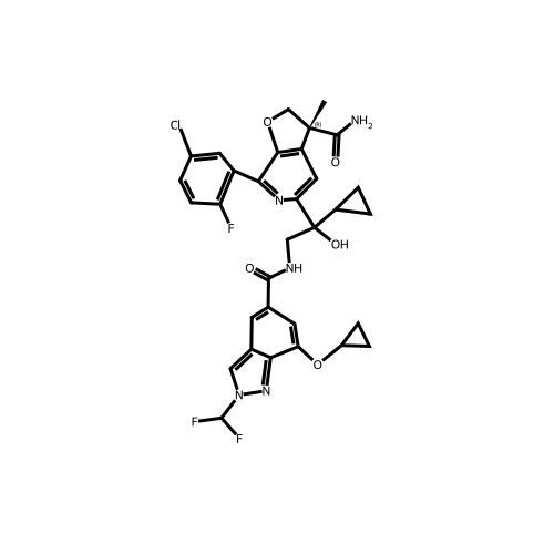 C[C@]1(C(N)=O)COc2c1cc(C(O)(CNC(=O)c1cc(OC3CC3)c3nn(C(F)F)cc3c1)C1CC1)nc2-c1cc(Cl)ccc1F